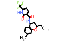 CCC1CC(NC(=O)c2ccc(C(F)(F)F)[nH]c2=O)c2ccc(C)cc2O1